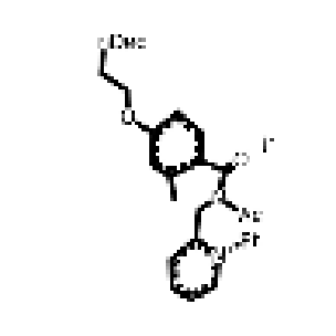 CCCCCCCCCCCCOc1ccc(C(=O)N(Cc2cccc[n+]2CC)C(C)=O)c(C)c1.[I-]